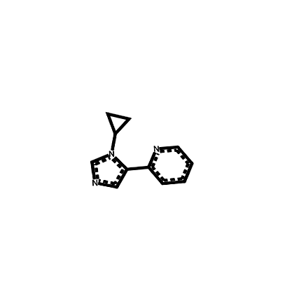 c1ccc(-c2cncn2C2CC2)nc1